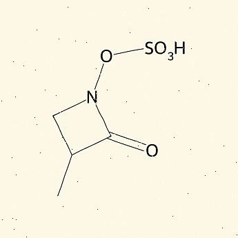 CC1CN(OS(=O)(=O)O)C1=O